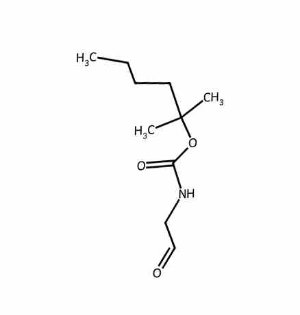 CCCCC(C)(C)OC(=O)NCC=O